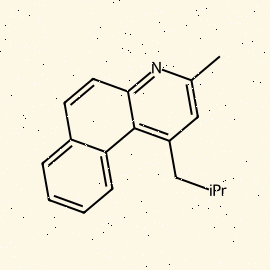 Cc1cc(CC(C)C)c2c(ccc3ccccc32)n1